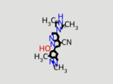 Cc1c(O)c(-c2cc(C#N)c3cc(N4C[C@@H](C)N[C@H](C)C4)cnc3n2)cc2cn(C)nc12